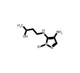 CCn1ncc(N)c1NCCC(C)O